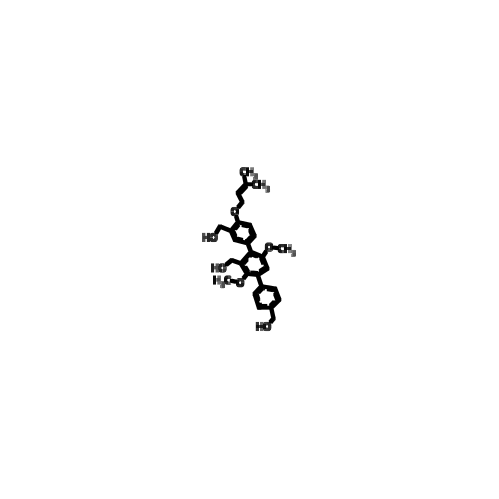 COc1cc(-c2ccc(CO)cc2)c(OC)c(CO)c1-c1ccc(OCC=C(C)C)c(CO)c1